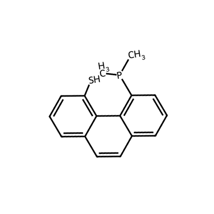 CP(C)c1cccc2ccc3cccc(S)c3c12